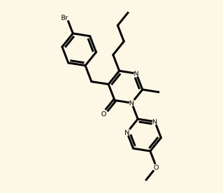 CCCCc1nc(C)n(-c2ncc(OC)cn2)c(=O)c1Cc1ccc(Br)cc1